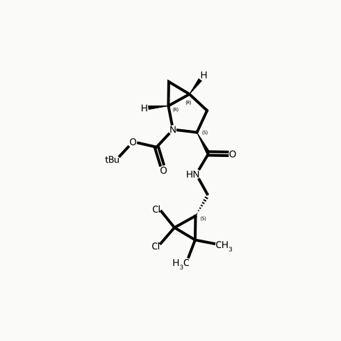 CC(C)(C)OC(=O)N1[C@@H]2C[C@@H]2C[C@H]1C(=O)NC[C@@H]1C(C)(C)C1(Cl)Cl